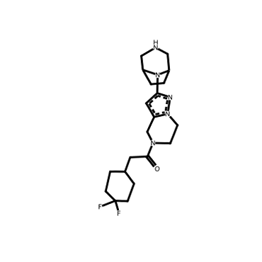 O=C(CC1CCC(F)(F)CC1)N1CCn2nc(N3C4CCC3CNC4)cc2C1